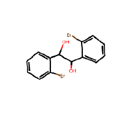 OC(c1ccccc1Br)C(O)c1ccccc1Br